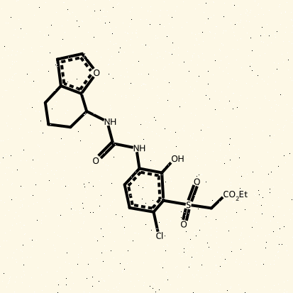 CCOC(=O)CS(=O)(=O)c1c(Cl)ccc(NC(=O)NC2CCCc3ccoc32)c1O